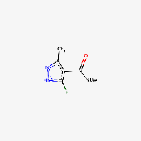 CNC(=O)c1c(C(F)(F)F)n[nH]c1F